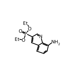 CCOP(=O)(OCC)c1cnc2c(N)cccc2c1